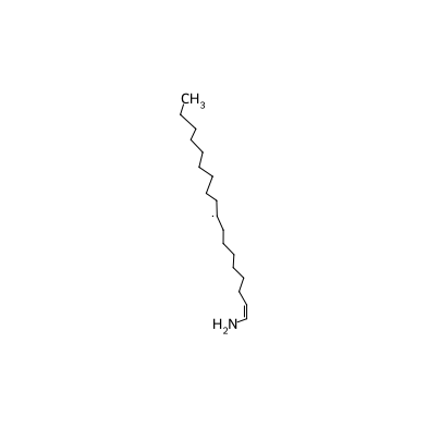 CCCCCCCCC[CH]CCCCCC/C=C\N